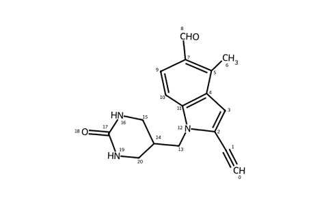 C#Cc1cc2c(C)c(C=O)ccc2n1CC1CNC(=O)NC1